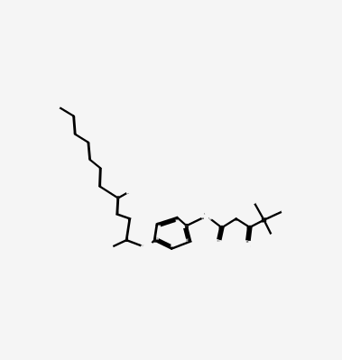 CCCCCCCC(Cl)CCC(C)Oc1ccc(NC(=O)CC(=O)C(C)(C)C)cc1